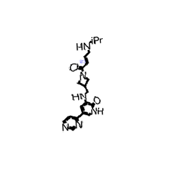 CC(C)NC/C=C/C(=O)N1CC(CNc2cc(-c3ccncn3)c[nH]c2=O)C1